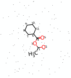 CC([O])OC(=O)C1CCCCC1